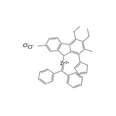 CCc1c(C)c(C2=CC=CC2)c2c(c1CC)-c1ccc(C)cc1[CH]2[Zr+2]=[C](c1ccccc1)c1ccccc1.[Cl-].[Cl-]